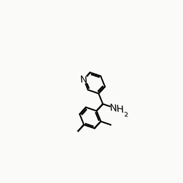 Cc1ccc(C(N)c2cccnc2)c(C)c1